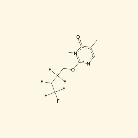 Cc1cnc(OCC(F)(F)C(F)C(F)(F)F)n(C)c1=O